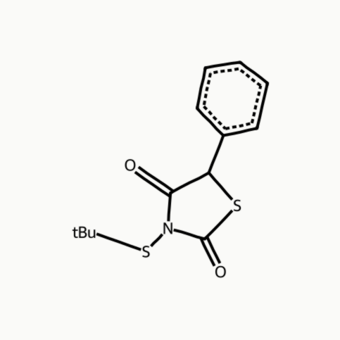 CC(C)(C)SN1C(=O)SC(c2ccccc2)C1=O